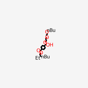 CCCCOCCOCCOC(O)c1ccc(C(=O)OCC(CC)CCCC)cc1